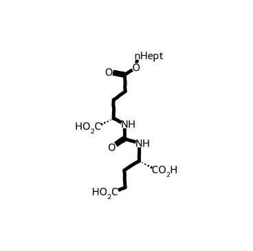 CCCCCCCOC(=O)CC[C@H](NC(=O)N[C@@H](CCC(=O)O)C(=O)O)C(=O)O